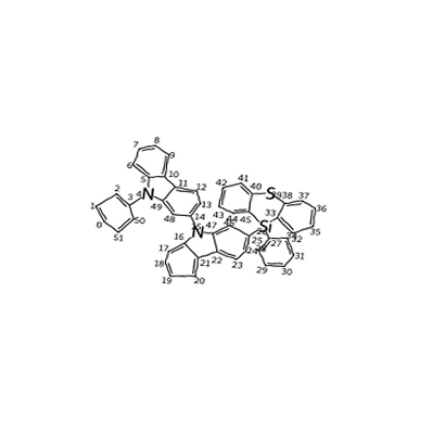 c1ccc(-n2c3ccccc3c3ccc(-n4c5ccccc5c5ccc([Si]6(c7ccccc7)c7ccccc7Sc7ccccc76)cc54)cc32)cc1